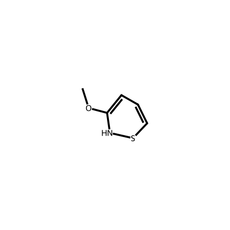 COC1=CC=CSN1